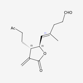 C=C1C(=O)O[C@H](/C=C(\C)CCC=O)[C@H]1CCC(C)=O